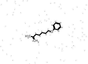 C=C(C)CCCCCOc1ccccc1